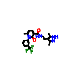 Cc1n[nH]c(C)c1CCNC(=O)c1ccc(C)n(-c2cccc(C(F)(F)F)c2)c1=O